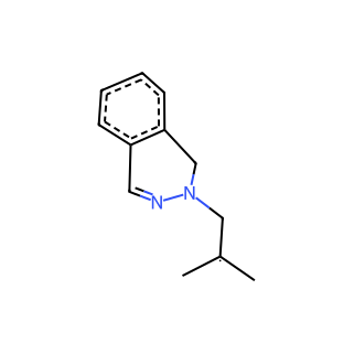 C[C](C)CN1Cc2ccccc2C=N1